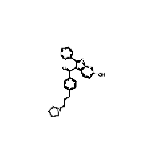 O=C(c1ccc(CCCN2CCCC2)cc1)c1c(-c2ccccc2)sc2cc(O)ccc12